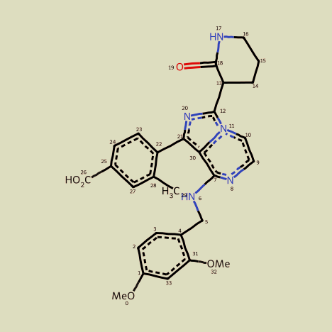 COc1ccc(CNc2nccn3c(C4CCCNC4=O)nc(-c4ccc(C(=O)O)cc4C)c23)c(OC)c1